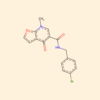 Cn1cc(C(=O)NCc2ccc(Br)cc2)c(=O)c2ccoc21